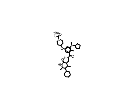 Cc1c(C(=O)NCC2C(=O)NC(C)C(C3CCCCC3)C2C)cc(OC2CCN(C(=O)OC(C)(C)C)CC2)cc1N(C)C1CCCC1